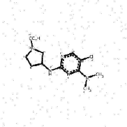 CN(C)c1nc(NC2CCN(C(=O)O)C2)ncc1Cl